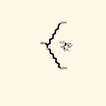 CCCCCCCCCCCCCCCCCCOC(CCCC)CCCCCCCCCCCCCCCCCC.CCNC.CS